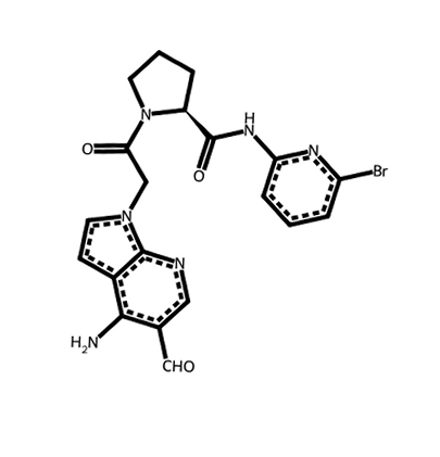 Nc1c(C=O)cnc2c1ccn2CC(=O)N1CCC[C@H]1C(=O)Nc1cccc(Br)n1